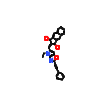 CCn1c(C=C2C(=O)c3cc4ccccc4cc3C2=O)cc2oc(C#Cc3ccccc3)nc21